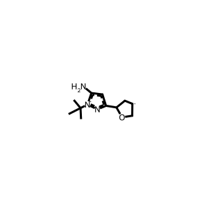 CC(C)(C)n1nc(C2C[CH]CO2)cc1N